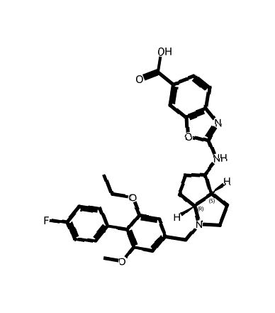 CCOc1cc(CN2CC[C@H]3C(Nc4nc5ccc(C(=O)O)cc5o4)CC[C@H]32)cc(OC)c1-c1ccc(F)cc1